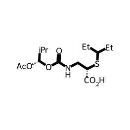 CCC(CC)S[C@@H](CNC(=O)O[C@H](OC(C)=O)C(C)C)C(=O)O